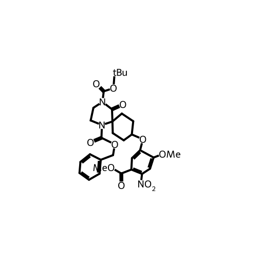 COC(=O)c1cc(OC2CCC3(CC2)C(=O)N(C(=O)OC(C)(C)C)CCN3C(=O)OCc2ccccc2)c(OC)cc1[N+](=O)[O-]